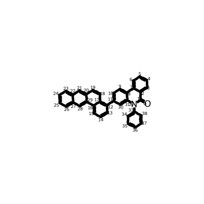 O=c1c2ccccc2c2ccc(-c3cccc4c3ccc3cc5ccccc5cc34)cc2n1-c1ccccc1